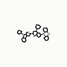 c1ccc(-c2cc(-c3ccc4c(c3)c3ccccc3n4-c3ccccc3)nc3ccc(N4c5ccccc5Oc5ccccc54)cc23)cc1